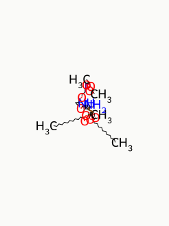 CCCCCCCCCCCC(=O)OC(OC(=O)CCCCCCCCCCC)[C@@H](C)SC[C@H](N)C(=O)NC1(COCCCP(=O)(OCC)OCC)CC1